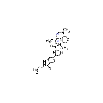 C=N/C=C\C(=C(/C)NC(=O)c1nc(-c2ccc(C(=O)NCCNI)cc2)cnc1N)N1CCOCC1